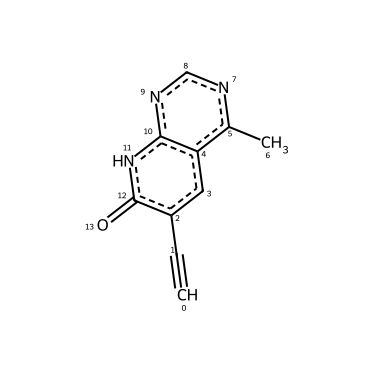 C#Cc1cc2c(C)ncnc2[nH]c1=O